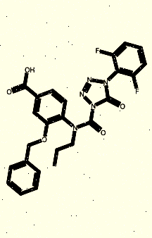 CCCN(C(=O)n1nnn(-c2c(F)cccc2F)c1=O)c1ccc(C(=O)O)cc1OCc1ccccc1